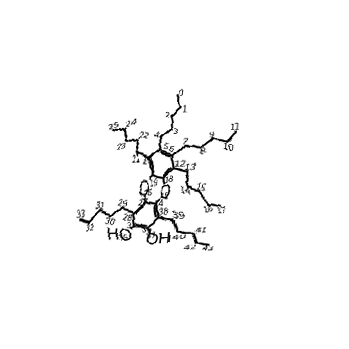 CCCCCc1c(CCCCC)c(CCCCC)c2c(c1CCCCC)Oc1c(CCCCC)c(O)c(O)c(CCCCC)c1O2